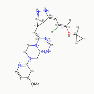 COC1C=CN=C(N2CCN(C(=C/C3C4=NN/C(=C/C(F)=C(\C)OC5(C)CC5)C43)/N=C\N)CC2)C1